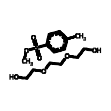 COS(=O)(=O)c1ccc(C)cc1.OCCOCCOCCO